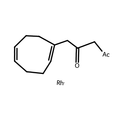 CC(=O)CC(=O)CC1=CCCC=CCC1.[Rh]